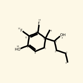 CCCC(O)C1(C)CC=C(O)C(F)=C1F